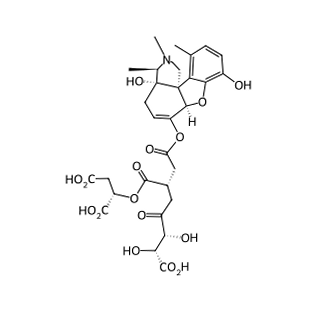 Cc1ccc(O)c2c1[C@]13CCN(C)[C@H](C)[C@]1(O)CC=C(OC(=O)C[C@H](CC(=O)[C@H](O)[C@@H](O)C(=O)O)C(=O)O[C@@H](CC(=O)O)C(=O)O)[C@@H]3O2